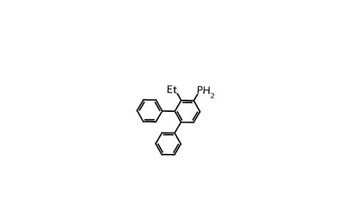 CCc1c(P)ccc(-c2ccccc2)c1-c1ccccc1